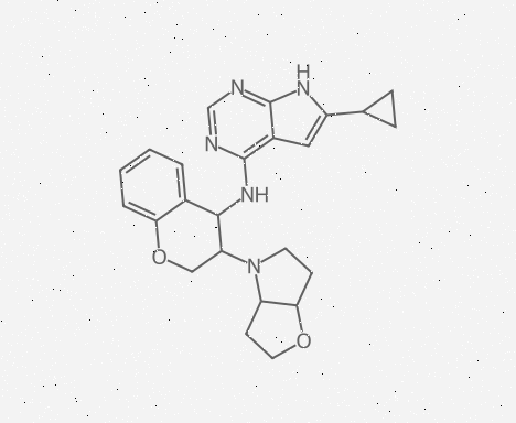 c1ccc2c(c1)OCC(N1CCC3OCCC31)C2Nc1ncnc2[nH]c(C3CC3)cc12